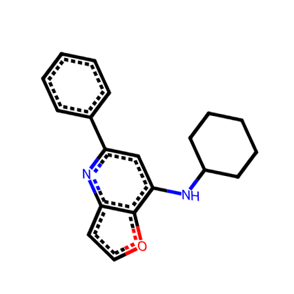 c1ccc(-c2cc(NC3CCCCC3)c3occc3n2)cc1